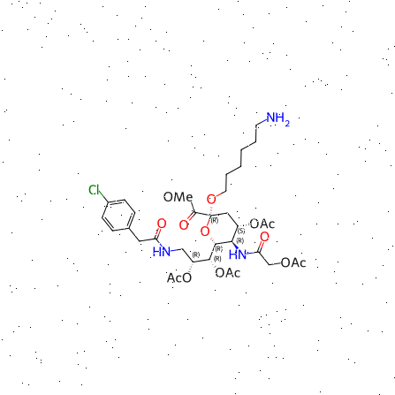 COC(=O)[C@@]1(OCCCCCCN)C[C@H](OC(C)=O)[C@@H](NC(=O)COC(C)=O)[C@H]([C@H](OC(C)=O)[C@@H](CNC(=O)Cc2ccc(Cl)cc2)OC(C)=O)O1